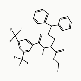 CCOC(=O)C(CCC(c1ccccc1)c1ccccc1)N(C)C(=O)c1cc(C(F)(F)F)cc(C(F)(F)F)c1